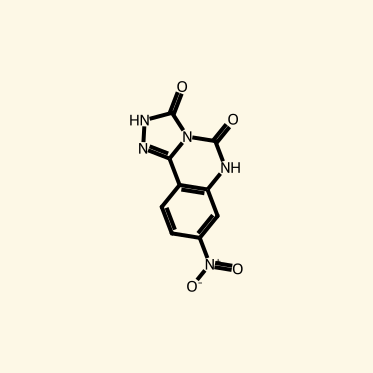 O=c1[nH]nc2c3ccc([N+](=O)[O-])cc3[nH]c(=O)n12